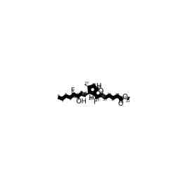 CCCCC(F)[C@H](O)/C=C/[C@@H]1[C@H]2C(F)/C(=C/CCCC(=O)OC)O[C@@H]2C[C@H]1C